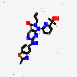 C=CCn1c(=O)c2cnc(Nc3ccc4sc(C)nc4c3)nc2n1-c1cccc(C(C)(C)O)n1